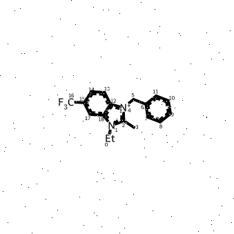 CCn1c(C)[n+](Cc2ccccc2)c2ccc(C(F)(F)F)cc21